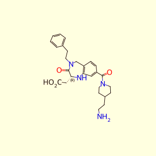 NCCC1CCN(C(=O)c2ccc3c(c2)N[C@H](CC(=O)O)C(=O)N(CCc2ccccc2)C3)CC1